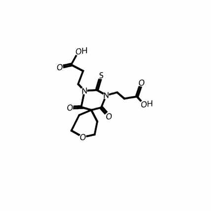 O=C(O)CCN1C(=O)C2(CCOCC2)C(=O)N(CCC(=O)O)C1=S